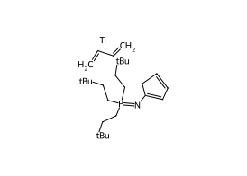 C=CC=C.CC(C)(C)CCP(CCC(C)(C)C)(CCC(C)(C)C)=NC1=CC=CC1.[Ti]